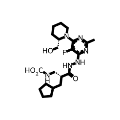 Cc1nc(NNC(=O)[C@@H](CNC(=O)O)CC2CCCC2)c(F)c(N2CCCC[C@H]2CO)n1